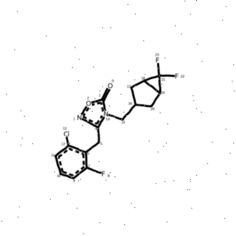 O=c1onc(Cc2c(F)cccc2Cl)n1CC1CC2C(C1)C2(F)F